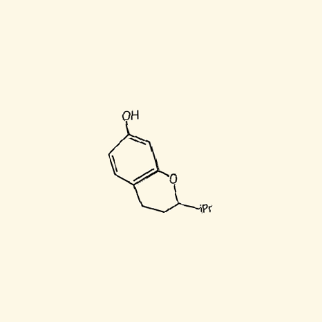 CC(C)C1CCc2ccc(O)cc2O1